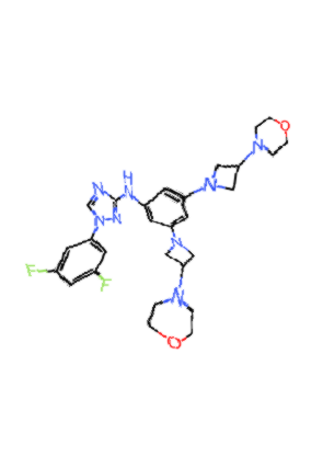 Fc1cc(F)cc(-n2cnc(Nc3cc(N4CC(N5CCOCC5)C4)cc(N4CC(N5CCOCC5)C4)c3)n2)c1